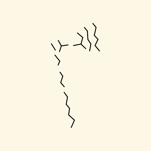 CC.CC(C)C.CCC.CCC(C)C.CCCC.CCCCC.CCCCCC.CCCCCCC